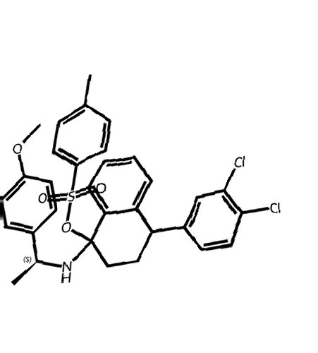 COc1ccc([C@H](C)NC2(OS(=O)(=O)c3ccc(C)cc3)CCC(c3ccc(Cl)c(Cl)c3)c3ccccc32)cc1